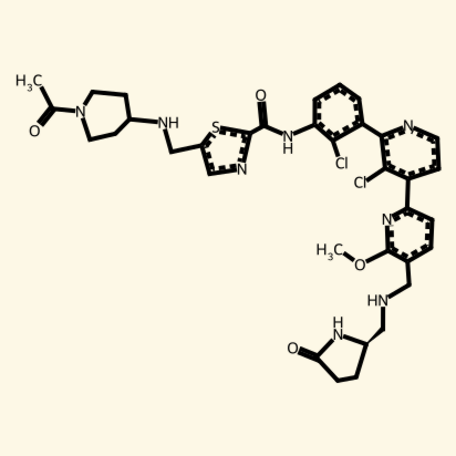 COc1nc(-c2ccnc(-c3cccc(NC(=O)c4ncc(CNC5CCN(C(C)=O)CC5)s4)c3Cl)c2Cl)ccc1CNC[C@H]1CCC(=O)N1